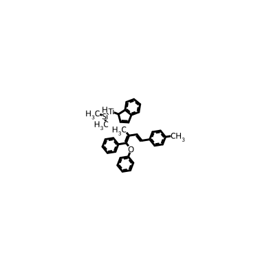 CC(C=Cc1ccc(C)cc1)=C(Oc1ccccc1)c1ccccc1.C[SiH](C)[Ti][CH]1C=Cc2ccccc21